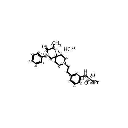 CC1OC2(CCN(CCc3cccc(NS(=O)(=O)C(C)C)c3)CC2)CN(c2ccccc2)C1=O.Cl